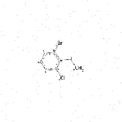 CCc1c(Cl)cccc1Br